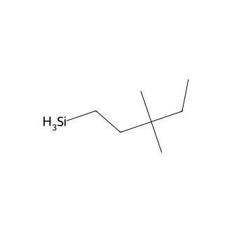 CCC(C)(C)CC[SiH3]